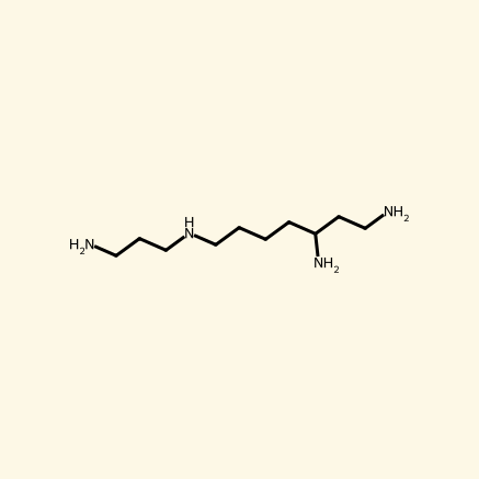 NCCCNCCCCC(N)CCN